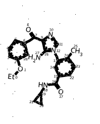 CCOc1cccc(C(=O)c2ncn(-c3cc(C(=O)NC4CC4)ccc3C)c2N)c1